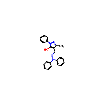 Cc1nn(-c2ccccc2)c(O)c1C=NN(c1ccccc1)c1ccccc1